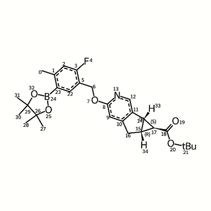 Cc1cc(F)c(COc2cc3c(cn2)[C@H]2[C@@H](C3)[C@@H]2C(=O)OC(C)(C)C)cc1B1OC(C)(C)C(C)(C)O1